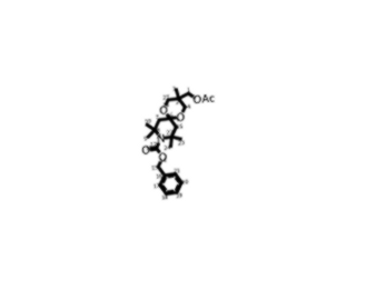 CC(=O)OCC1(C)COC2(CC(C)(C)N(C(=O)OCc3ccccc3)C(C)(C)C2)OC1